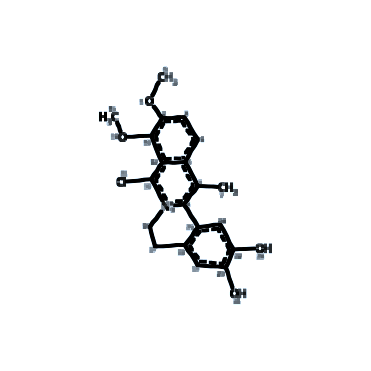 COc1ccc2c(C)c3[n+](c(Cl)c2c1OC)CCc1cc(O)c(O)cc1-3